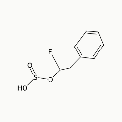 O=S(O)OC(F)Cc1ccccc1